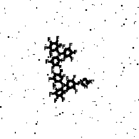 Fc1c(F)c(F)c(B(c2c(F)c(F)c(F)c(F)c2F)c2c(F)c(F)c(F)c(F)c2F)c(F)c1F.Fc1c(F)c(F)c(B(c2c(F)c(F)c(F)c(F)c2F)c2c(F)c(F)c(F)c(F)c2F)c(F)c1F.[K+].c1c[n-]cn1